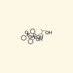 CC(CO)C(C)CO.O=C(O)c1ccccc1.O=P(O)(c1ccccc1)c1ccccc1